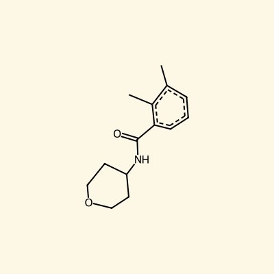 Cc1cccc(C(=O)NC2CCOCC2)c1C